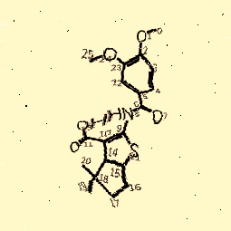 COc1ccc(C(=O)NC2=C(C(=O)O)C3C(CCC3(C)C)S2)cc1OC